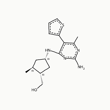 Cc1nc(N)nc(N[C@@H]2C[C@H](CO)[C@@H](C)C2)c1-c1cccs1